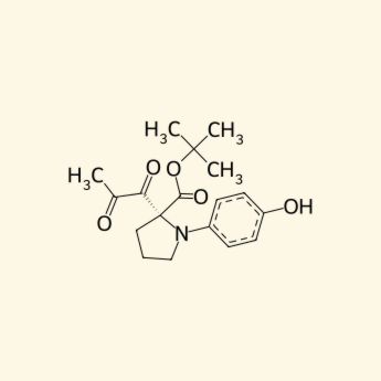 CC(=O)C(=O)[C@@]1(C(=O)OC(C)(C)C)CCCN1c1ccc(O)cc1